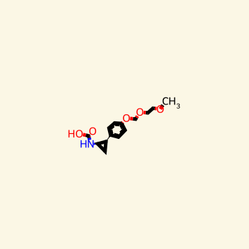 COCCOCOc1ccc([C@@H]2C[C@H]2NC(=O)O)cc1